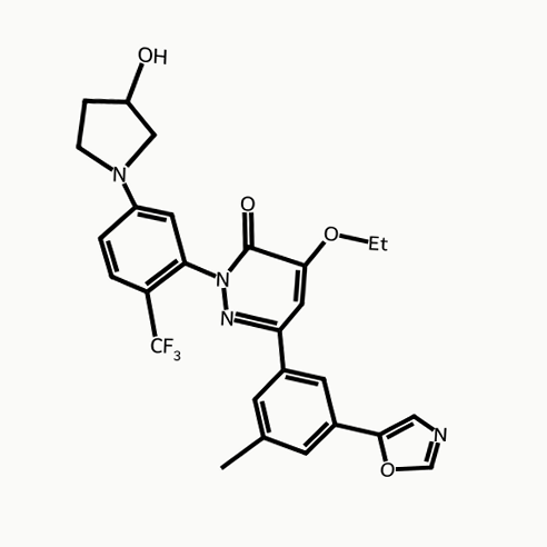 CCOc1cc(-c2cc(C)cc(-c3cnco3)c2)nn(-c2cc(N3CCC(O)C3)ccc2C(F)(F)F)c1=O